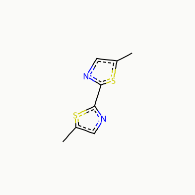 Cc1cnc(-c2ncc(C)s2)s1